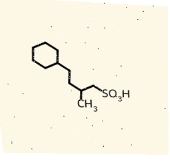 CC(CCC1CCCCC1)CS(=O)(=O)O